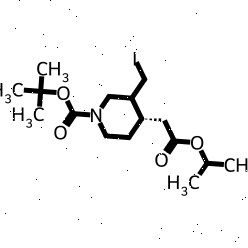 CC(C)OC(=O)C[C@@H]1CCN(C(=O)OC(C)(C)C)CC1CI